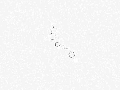 CC(C)(C)c1ccc(SNCc2scc3c2CN(C2CCC(=O)NC2=O)C3=O)cc1